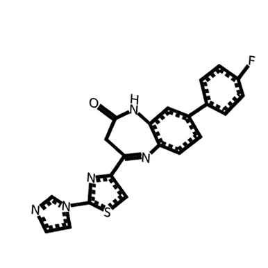 O=C1CC(c2csc(-n3ccnc3)n2)=Nc2ccc(-c3ccc(F)cc3)cc2N1